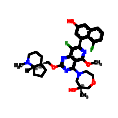 COc1nc(-c2cc(O)cc3cccc(F)c23)c(F)c2nc(OC[C@]34CCC[C@H]3N(C)CCC4)nc(N3CCOC[C@@](C)(O)C3)c12